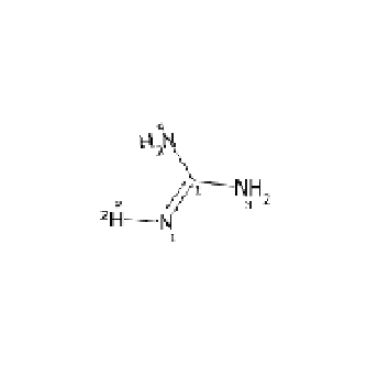 [2H]N=C(N)N